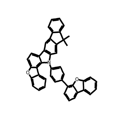 CC1(C)c2ccccc2-c2cc3c4ccc5oc6ccccc6c5c4n(-c4ccc(-c5cccc6c5oc5ccccc56)cc4)c3cc21